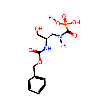 CC(C)OP(=O)(O)C(=O)N(C[C@@H](CO)NC(=O)OCc1ccccc1)C(C)C